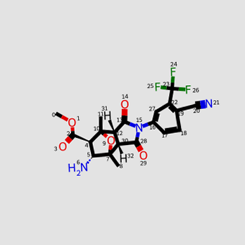 COC(=O)[C@@H]1[C@@H](N)C2(C)OC1(C)[C@@H]1C(=O)N(c3ccc(C#N)c(C(F)(F)F)c3)C(=O)[C@@H]12